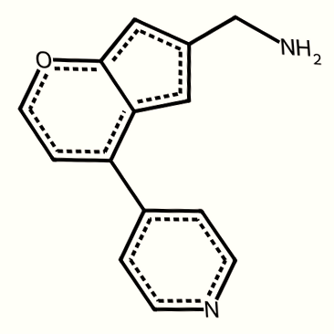 NCc1cc2occc(-c3ccncc3)c-2c1